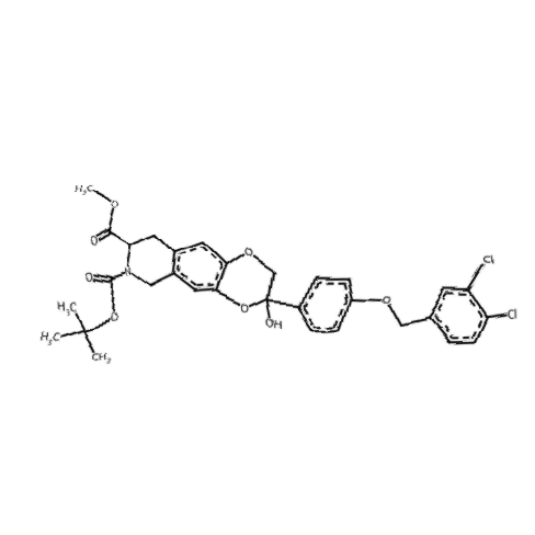 COC(=O)C1Cc2cc3c(cc2CN1C(=O)OC(C)(C)C)OC(O)(c1ccc(OCc2ccc(Cl)c(Cl)c2)cc1)CO3